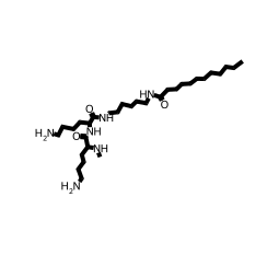 CCCCCCCCCCCC(=O)NCCCCCCNC(=O)C(CCCCN)NC(=O)C(CCCCN)NC